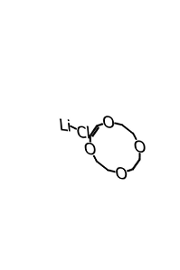 C1=C\OCCOCCOCCO/1.[Li][Cl]